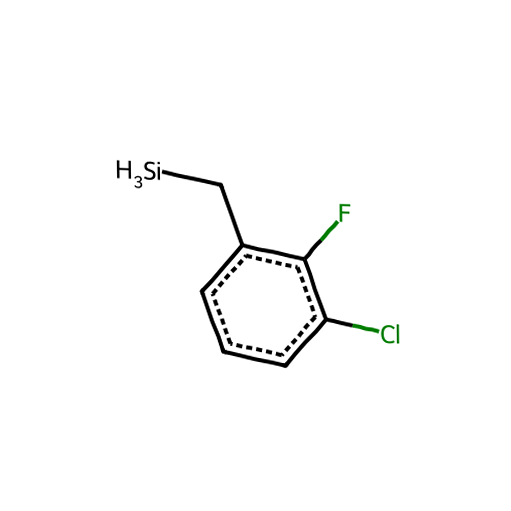 Fc1c(Cl)cccc1C[SiH3]